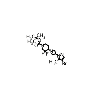 Cc1c(Br)cnn1C1CN(C2CCN(C(=O)OC(C)(C)C)CC2(F)F)C1